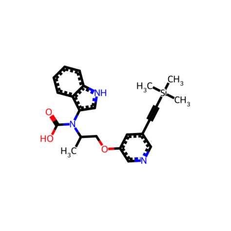 CC(COc1cncc(C#C[Si](C)(C)C)c1)N(C(=O)O)c1c[nH]c2ccccc12